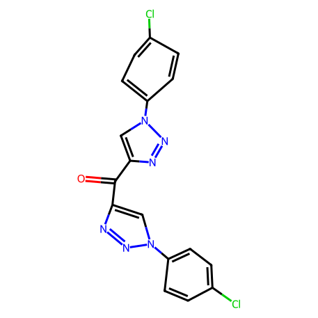 O=C(c1cn(-c2ccc(Cl)cc2)nn1)c1cn(-c2ccc(Cl)cc2)nn1